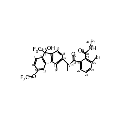 Cc1cc(C(O)(c2ccc(OC(F)(F)F)cc2)C(F)(F)F)ccc1NC(=O)c1cccc(I)c1C(=O)NC(C)C